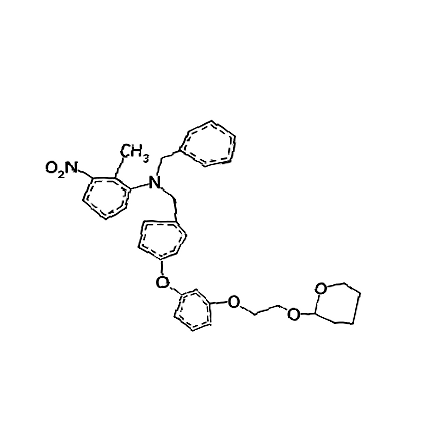 Cc1c(N(Cc2ccccc2)Cc2ccc(Oc3cccc(OCCOC4CCCCO4)c3)cc2)cccc1[N+](=O)[O-]